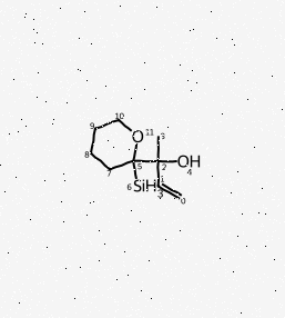 C=CC(C)(O)C1([SiH3])CCCCO1